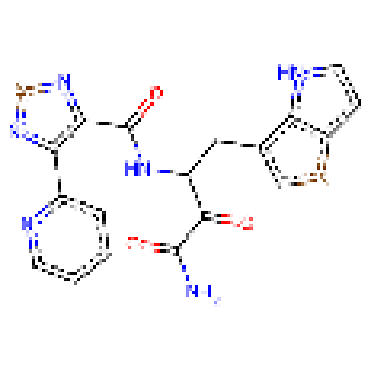 NC(=O)C(=O)C(Cc1csc2cc[nH]c12)NC(=O)c1nsnc1-c1ccccn1